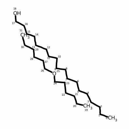 CCCCCCCCCCCCCCCCCCO.CCCCCCOCCCCCC